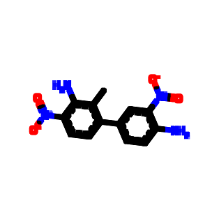 Cc1c(-c2ccc(N)c([N+](=O)[O-])c2)ccc([N+](=O)[O-])c1N